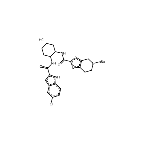 CCCCN1CCc2nc(C(=O)NC3CCCCC3NC(=O)c3cc4cc(Cl)ccc4[nH]3)sc2C1.Cl